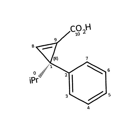 CC(C)[C@]1(c2ccccc2)C=C1C(=O)O